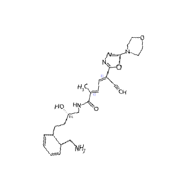 C#C/C(=C\C=C(/C)C(=O)NC[C@@H](O)CCC1C=CC=CC1CN)c1nnc(N2CCOCC2)o1